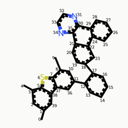 Cc1cc(C)c2sc3c(C)cc(-c4ccccc4-c4ccc5c(c4)c4ccccc4c4nccnc54)cc3c2c1